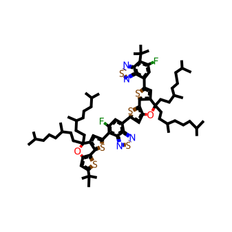 CC(C)CCCC(C)CCC1(CCC(C)CCCC(C)C)Oc2cc(-c3cc(F)c(-c4cc5c(s4)-c4sc(C(C)(C)C)cc4OC5(CCC(C)CCCC(C)C)CCC(C)CCCC(C)C)c4nsnc34)sc2-c2sc(-c3cc(F)c(C(C)(C)C)c4nsnc34)cc21